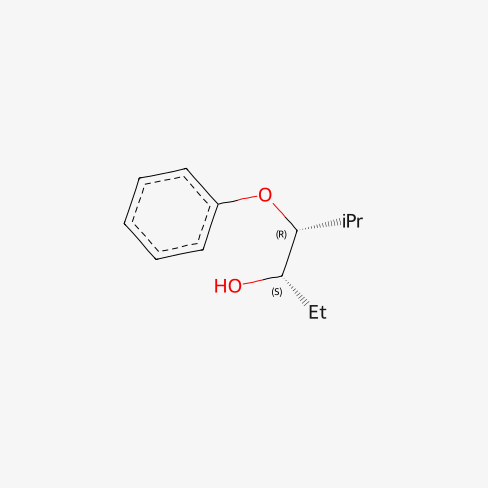 CC[C@H](O)[C@H](Oc1ccccc1)C(C)C